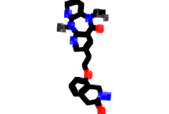 CCN1c2ncc(CCOc3cccc4c3CNC(=O)C4)cc2C(=O)N(C)c2cccnc21